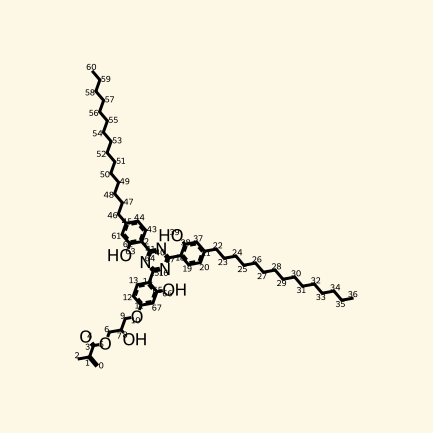 C=C(C)C(=O)OCC(O)COc1ccc(-c2nc(-c3ccc(CCCCCCCCCCCCCCC)cc3O)nc(-c3ccc(CCCCCCCCCCCCCCC)cc3O)n2)c(O)c1